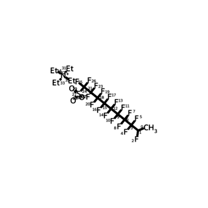 CC(F)C(F)(F)C(F)(F)C(F)(F)C(F)(F)C(F)(F)C(F)(F)C(F)(F)C(F)(F)S(=O)(=O)[O-].CC[N+](CC)(CC)CC